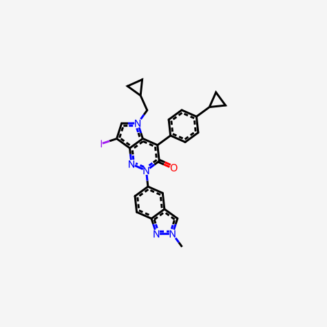 Cn1cc2cc(-n3nc4c(I)cn(CC5CC5)c4c(-c4ccc(C5CC5)cc4)c3=O)ccc2n1